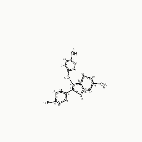 Oc1ccc(Oc2c(-c3ccc(F)cc3)sc3cc(O)ccc23)cc1